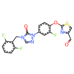 O=Cc1csc(Oc2ccc(-n3ncn(Cc4c(F)cccc4F)c3=O)cc2F)n1